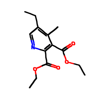 CCOC(=O)c1ncc(CC)c(C)c1C(=O)OCC